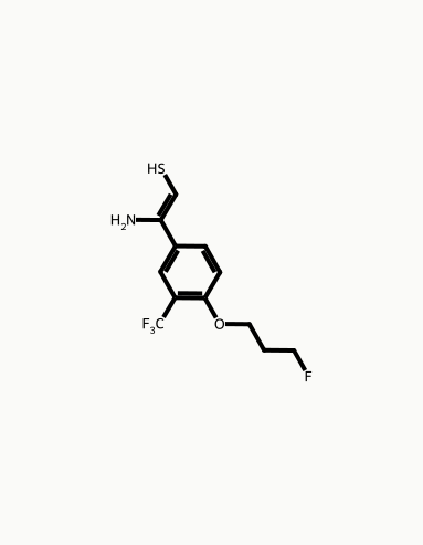 N/C(=C\S)c1ccc(OCCCF)c(C(F)(F)F)c1